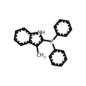 Cc1c(P(c2ccccc2)c2ccccc2)[nH]c2ccccc12